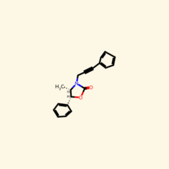 C[C@H]1[C@@H](c2ccccc2)OC(=O)N1CC#Cc1ccccc1